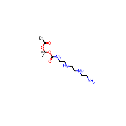 CCC(=O)O[C@@H](C)OC(=O)NCCNCCNCCN